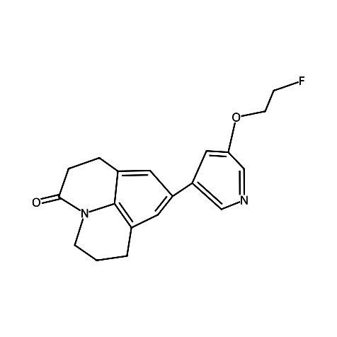 O=C1CCc2cc(-c3cncc(OCCF)c3)cc3c2N1CCC3